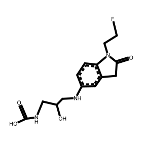 O=C(O)NCC(O)CNc1ccc2c(c1)CC(=O)N2CCF